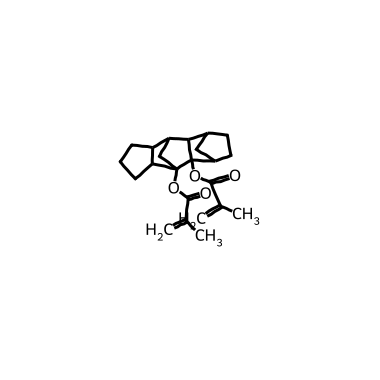 C=C(C)C(=O)OC12CC(C3CCCC31)C1C3CCC(C3)C12OC(=O)C(=C)C